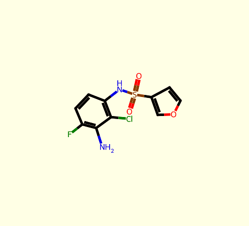 Nc1c(F)ccc(NS(=O)(=O)c2ccoc2)c1Cl